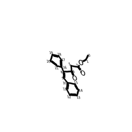 CCOC(=O)CC(=O)C(=Cc1ccccc1)c1ccccc1